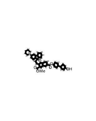 COC(=O)c1cc2cc(C(=O)Oc3ccc(-c4ccc(O)cc4)cc3)ccc2c2c1C=CC(c1ccccc1)(c1ccc(N3CCCCC3)cc1)O2